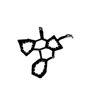 Cc1cc2c3c(c1)C(=O)c1ccccc1B3c1ccccc1O2